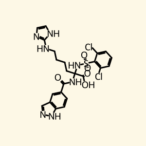 O=C(NC(CCCCNc1ncc[nH]1)(NS(=O)(=O)c1c(Cl)cccc1Cl)C(=O)O)c1ccc2[nH]ncc2c1